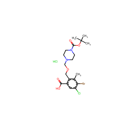 Cc1c(Br)c(Cl)cc(C(=O)O)c1COCN1CCN(C(=O)OC(C)(C)C)CC1.Cl